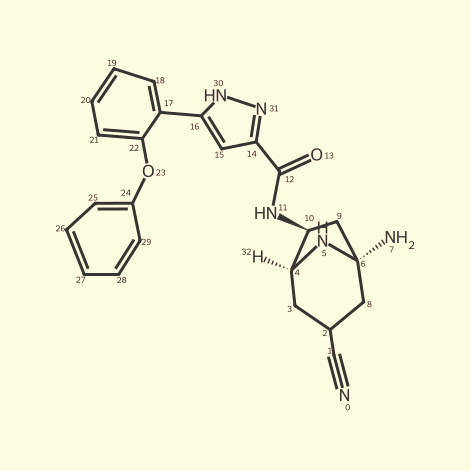 N#CC1C[C@@H]2N[C@](N)(C1)C[C@@H]2NC(=O)c1cc(-c2ccccc2Oc2ccccc2)[nH]n1